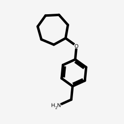 NCc1ccc(OC2CCCCCC2)cc1